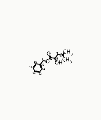 CN(C)C[C@H](O)C(=O)OCc1ccccc1